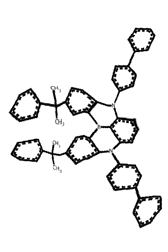 CC(C)(c1ccccc1)c1ccc2c(c1)B1c3cc(C(C)(C)c4ccccc4)ccc3N(c3ccc(-c4ccccc4)cc3)c3cccc(c31)N2c1ccc(-c2ccccc2)cc1